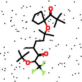 CC(CCC(C)(C)OC1(C(=O)C(C)(C)C)CCCC1)C(=O)C(OC(C)(C)C)C(F)(F)F